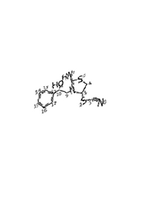 N#CSC1CSC(=N)N1CC(O)c1ccccc1